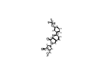 COC[C@@H]1C[C@@H](N2Cc3ccc(-c4cccc(OC(F)(F)F)c4)nc3C2=O)CN1C#N